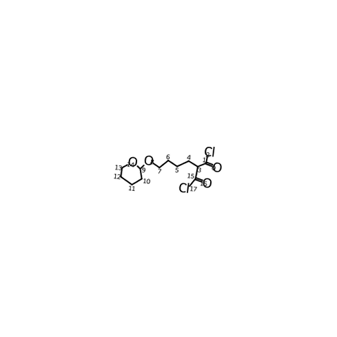 O=C(Cl)C(CCCCOC1CCCCO1)C(=O)Cl